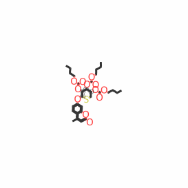 CCCCOC(=O)O[C@@H]1[C@@H](OC(=O)OCCCC)[C@H](OC(=O)OCCCC)CS[C@H]1Oc1ccc2c(C)cc(=O)oc2c1